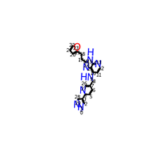 Cn1cc(-c2ccc(CNc3ccnc4[nH]c(CCc5ccco5)nc34)cn2)cn1